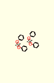 C[Si](C)(Oc1ccccc1)Oc1ccccc1.C[Si](C)(Oc1ccccc1)Oc1ccccc1